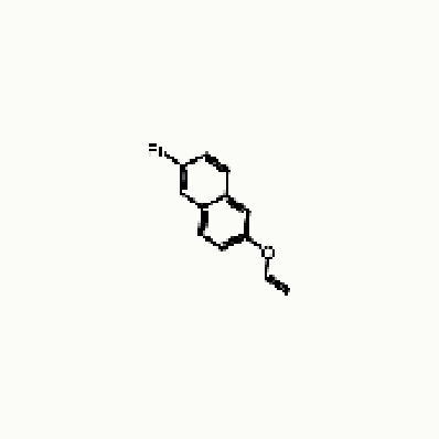 C=COc1ccc2cc(CC)ccc2c1